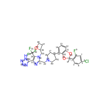 CC1(c2ccc(Cl)cc2F)Oc2cccc(C3CCN(Cc4nc(-c5nnn[nH]5)c(C(F)(F)F)n4CC4CCO4)CC3)c2O1